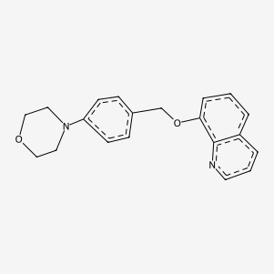 c1cnc2c(OCc3ccc(N4CCOCC4)cc3)cccc2c1